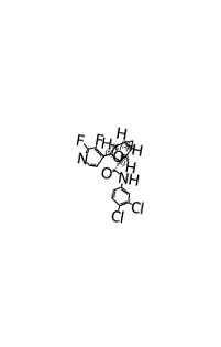 O=C(Nc1ccc(Cl)c(Cl)c1)[C@H]1[C@@H]2O[C@@H]([C@H]3C[C@H]32)[C@@H]1c1ccnc(F)c1F